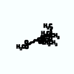 CCCCC(C)(C)C(C#CCC(CCCCCCC(=O)OC)S(C)(=O)=O)OC(C)=O